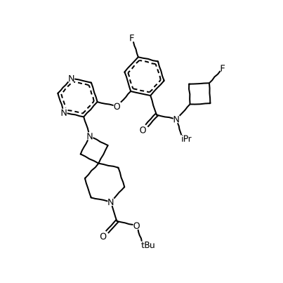 CC(C)N(C(=O)c1ccc(F)cc1Oc1cncnc1N1CC2(CCN(C(=O)OC(C)(C)C)CC2)C1)C1CC(F)C1